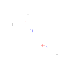 CCNCC1(O)CCCN(C(=O)OC(C)(C)C)CC1